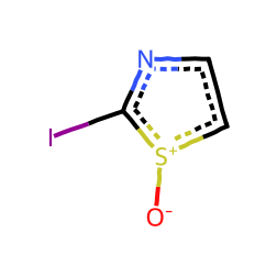 [O-][s+]1ccnc1I